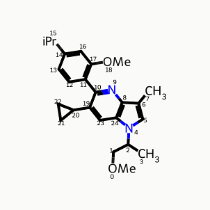 COCC(C)n1cc(C)c2nc(-c3ccc(C(C)C)cc3OC)c(C3CC3)cc21